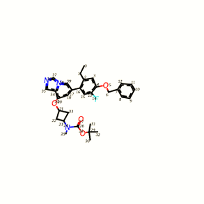 CCc1cc(OCc2ccccc2)c(F)cc1-c1cc(OC2CC(N(C)C(=O)OC(C)(C)C)C2)c2cncn2c1